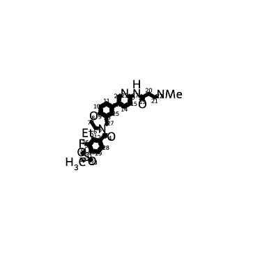 CCc1c(C(=O)N2CCOc3ccc(-c4ccc(NC(=O)CCNC)nc4)cc3C2)ccc(S(C)(=O)=O)c1F